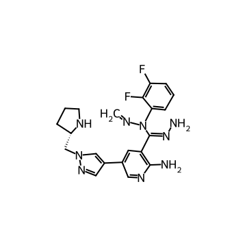 C=NN(/C(=N\N)c1cc(-c2cnn(C[C@@H]3CCCN3)c2)cnc1N)c1cccc(F)c1F